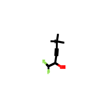 C[Si](C)(C)C#CC(O)C(F)F